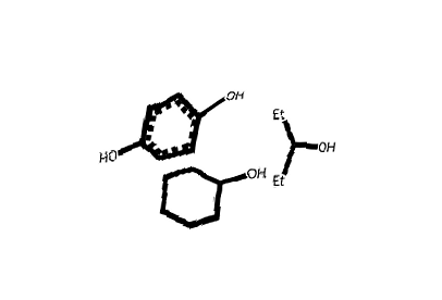 CCC(O)CC.OC1CCCCC1.Oc1ccc(O)cc1